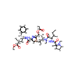 CCC(C)[C@H](NC(=O)[C@@]1(C)CCCN1C)C(=O)N(C)[C@H](C[C@@H](OC(C)=O)c1nc(C(=O)N[C@@H](Cc2ccccc2)C[C@H](C)C(=O)OC)cs1)C(C)C